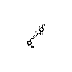 O=C(COCCc1cccc(Br)c1)Nc1ccc(Cl)nc1